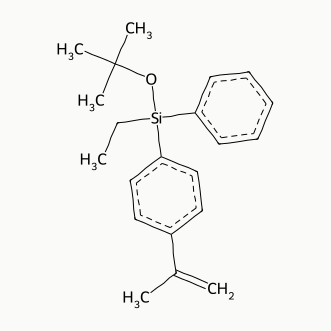 C=C(C)c1ccc([Si](CC)(OC(C)(C)C)c2ccccc2)cc1